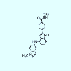 Cn1ncc2cc(Nc3ccnc4[nH]c(C5=CCN(C(=O)BC(C)(C)C)CC5)cc34)ccc21